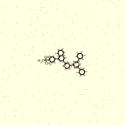 CC(C)(C)c1ccc(-c2cc(-c3nccc(-c4nc(-c5ccccc5)nc(-c5ccccc5)n4)n3)cc3ccccc23)cc1